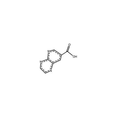 O=C(O)c1cnc2nccnc2c1